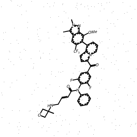 COc1c(-c2cccn3c(C(=O)c4cc(F)c(N(C(=O)/C=C/CNC5(C)COC5)c5ccccc5)c(F)c4)ccc23)c(C(F)(F)F)cc2c(C)n(C)nc12